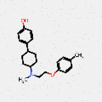 Cc1ccc(OCCN(C)C2CCC(c3ccc(O)cc3)CC2)cc1